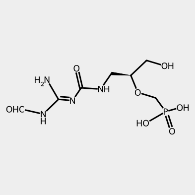 N/C(=N\C(=O)NC[C@@H](CO)OCP(=O)(O)O)NC=O